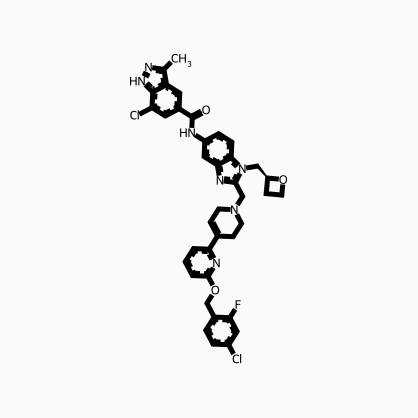 Cc1n[nH]c2c(Cl)cc(C(=O)Nc3ccc4c(c3)nc(CN3CC=C(c5cccc(OCc6ccc(Cl)cc6F)n5)CC3)n4C[C@@H]3CCO3)cc12